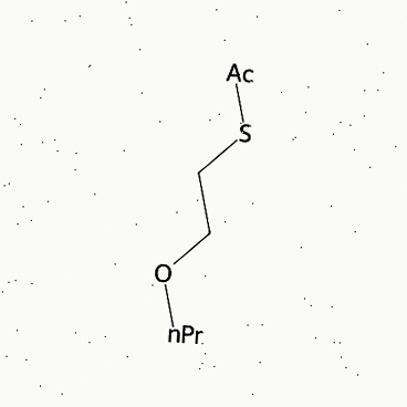 CCCOCCSC(C)=O